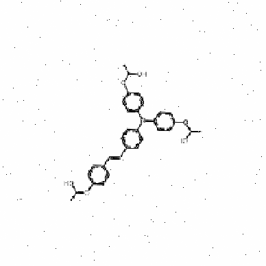 CC(O)Oc1ccc(C=Cc2ccc(N(c3ccc(OC(C)O)cc3)c3ccc(OC(C)O)cc3)cc2)cc1